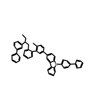 CCC(Cc1ccccc1-c1cc(-c2ccc3c(c2)c2ccccc2n3-c2ccc(-c3ccccc3)cc2)ccc1C)c1cccc(-c2ccccc2)c1